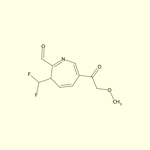 COCC(=O)C1=CN=C(C=O)C(C(F)F)C=C1